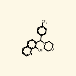 Oc1c(C(c2ccc(C(F)(F)F)cc2)N2CCOCC2)ccc2cccnc12